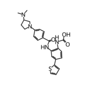 CN(C)C1CCN(c2ccc(C(=O)Nc3cc(-c4cccs4)ccc3NC(=O)O)cc2)C1